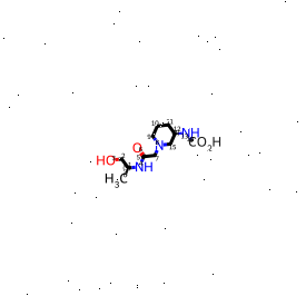 C[C@@H](CO)NC(=O)CN1CCC[C@@H](NC(=O)O)C1